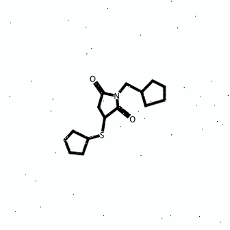 O=C1CC(SC2CCCC2)C(=O)N1CC1CCCC1